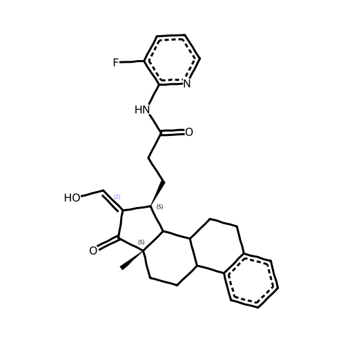 C[C@]12CCC3c4ccccc4CCC3C1[C@H](CCC(=O)Nc1ncccc1F)/C(=C/O)C2=O